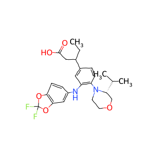 CCC(CC(=O)O)c1ccc(N2CCOC[C@H]2C(C)C)c(Nc2ccc3c(c2)OC(F)(F)O3)c1